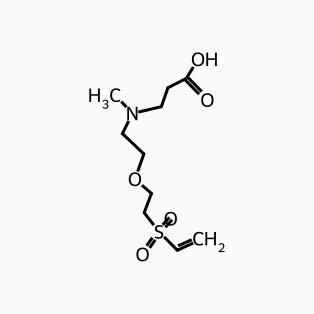 C=CS(=O)(=O)CCOCCN(C)CCC(=O)O